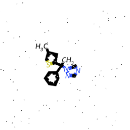 Cc1csc(C(C)(c2ccccc2)n2cncn2)c1